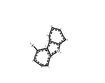 [K][c]1cccc2oc3ccccc3c12